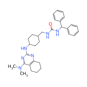 CN(C)c1nc(NC2CCC(CNC(=O)NC(c3ccccc3)c3ccccc3)CC2)nc2c1CCCC2